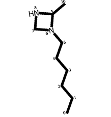 CCCCCCN1CNC1C